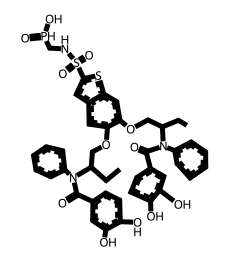 CCC(COc1cc2cc(S(=O)(=O)NC[PH](=O)O)sc2cc1OCC(CC)N(C(=O)c1ccc(O)c(O)c1)c1ccccc1)N(C(=O)c1ccc(O)c(O)c1)c1ccccc1